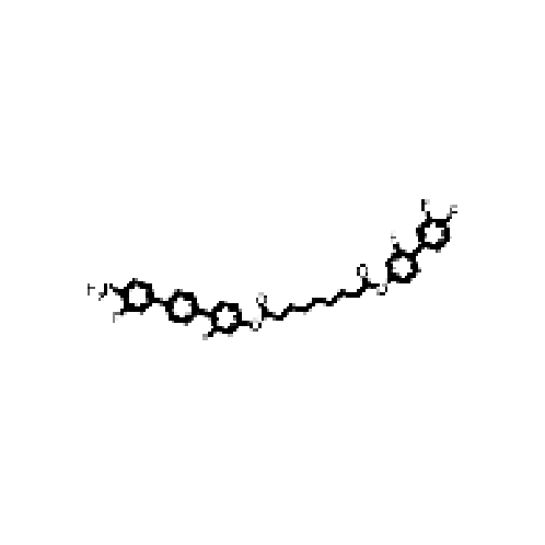 O=C(CCCCCCCC(=O)Oc1ccc(-c2ccc(F)c(F)c2)c(F)c1)Oc1ccc(-c2ccc(-c3ccc(P)c(F)c3)cc2)c(F)c1